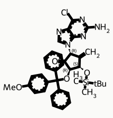 C=C1[C@@H](n2cnc3c(Cl)nc(N)nc32)C(=O)[C@H](OC(c2ccccc2)(c2ccccc2)c2ccc(OC)cc2)[C@H]1O[Si](C)(C)C(C)(C)C